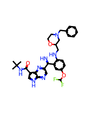 CC(C)(C)NC(=O)c1c[nH]c2ncc(C(=N)c3cc(OC(F)F)ccc3NCC3CN(Cc4ccccc4)CCO3)nc12